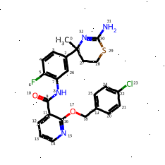 CC1(c2ccc(F)c(NC(=O)c3cccnc3OCc3ccc(Cl)cc3)c2)CCSC(N)=N1